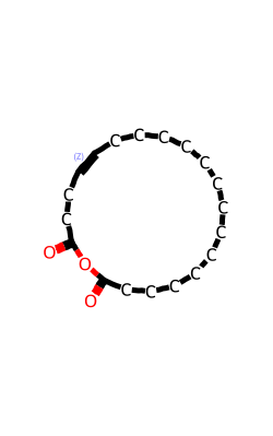 O=C1CC/C=C\CCCCCCCCCCCCCC(=O)O1